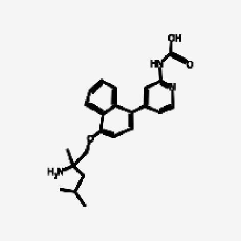 CC(C)CC(C)(N)COc1ccc(-c2ccnc(NC(=O)O)c2)c2ccccc12